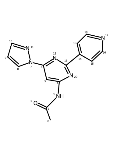 CC(=O)Nc1cc(-n2cccn2)nc(-c2ccncc2)n1